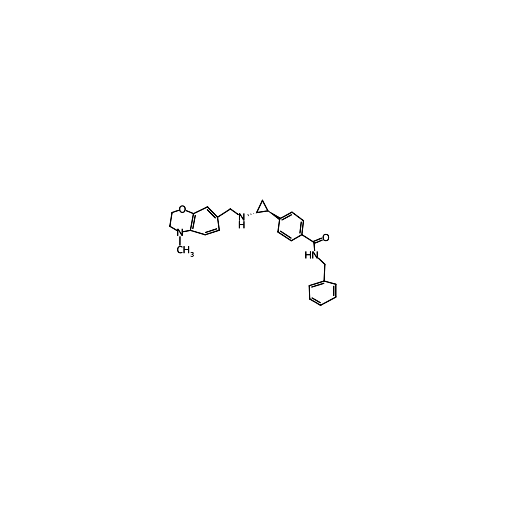 CN1CCOc2cc(CN[C@@H]3C[C@H]3c3ccc(C(=O)NCc4ccccc4)cc3)ccc21